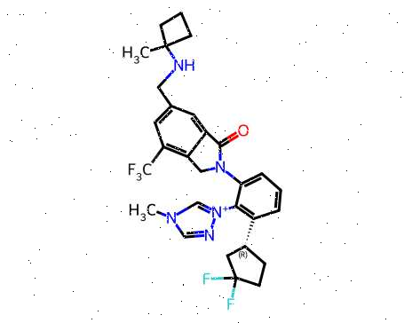 Cn1cn[n+](-c2c([C@@H]3CCC(F)(F)C3)cccc2N2Cc3c(cc(CNC4(C)CCC4)cc3C(F)(F)F)C2=O)c1